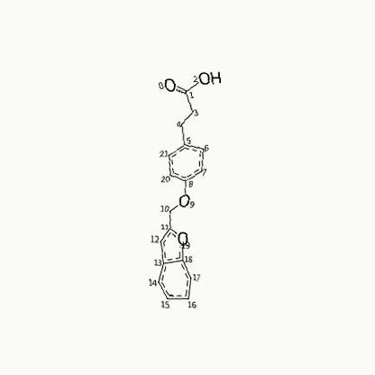 O=C(O)CCc1ccc(OCc2cc3ccccc3o2)cc1